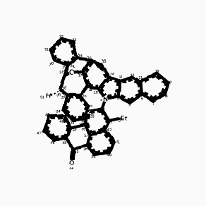 CCc1c(-n2c3cc4ccccc4cc3c3cc4c5c(c32)-c2ccccc2[C@H](CC5)c2ccccc2-4)nc2c3c(cccc13)C(=O)c1ccccc1-2